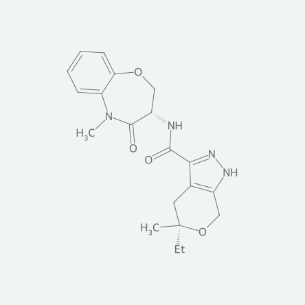 CC[C@]1(C)Cc2c(C(=O)N[C@H]3COc4ccccc4N(C)C3=O)n[nH]c2CO1